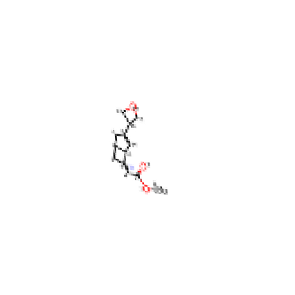 CC(C)(C)OC(=O)/C=C1/CC2CC(C3COC3)=CC12